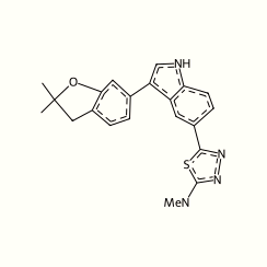 CNc1nnc(-c2ccc3[nH]cc(-c4ccc5c(c4)OC(C)(C)C5)c3c2)s1